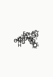 CCCOC(=O)[C@H](C)N[P@](=O)(OCC1OC(n2ccc(=O)[nH]c2=O)[C@](C)(F)[C@@H]1O)Oc1ccccc1